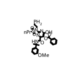 CCCS(=O)(=O)N(CCP)c1nc(O)c(OC(=O)c2ccccc2)c(C(=O)NC(C)(C)c2cccc(OC)c2)n1